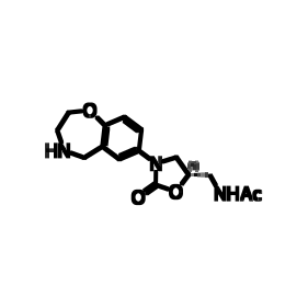 CC(=O)NC[C@H]1CN(c2ccc3c(c2)CNCCO3)C(=O)O1